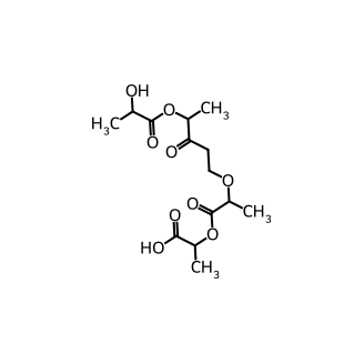 CC(O)C(=O)OC(C)C(=O)CCOC(C)C(=O)OC(C)C(=O)O